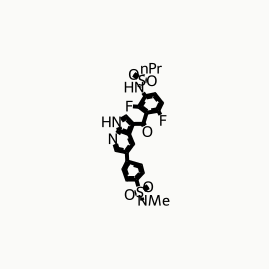 CCCS(=O)(=O)Nc1ccc(F)c(C(=O)c2c[nH]c3ncc(-c4ccc(S(=O)(=O)NC)cc4)cc23)c1F